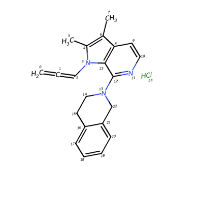 C=C=Cn1c(C)c(C)c2ccnc(N3CCc4ccccc4C3)c21.Cl